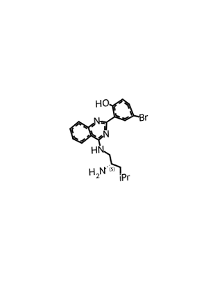 CC(C)C[C@H](N)CNc1nc(-c2cc(Br)ccc2O)nc2ccccc12